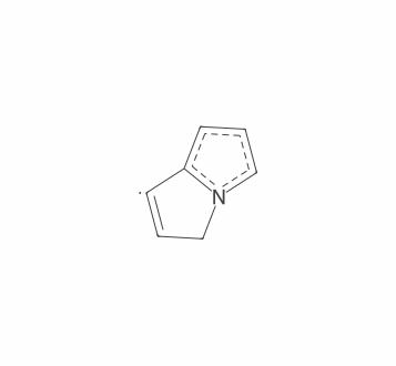 [C]1=CCn2cccc21